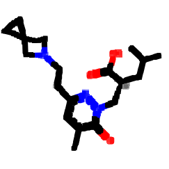 Cc1cc(CCN2CC3(CC3)C2)nn(C[C@H](CC(C)C)C(=O)O)c1=O